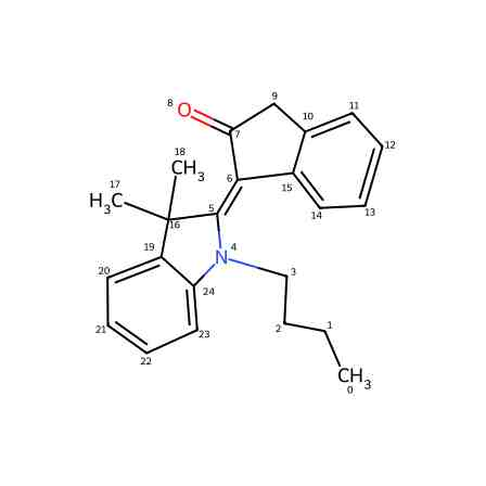 CCCCN1/C(=C2/C(=O)Cc3ccccc32)C(C)(C)c2ccccc21